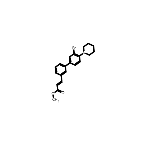 COC(=O)/C=C/c1cccc(-c2ccc(N3CCCCC3)c(Br)c2)c1